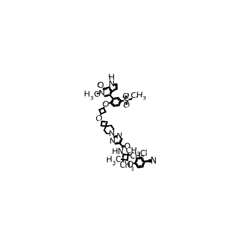 CCS(=O)(=O)c1ccc(OC2CC(OC3CC4(CCN(c5ncc(C(=O)NC6C(C)(C)C(Oc7ccc(C#N)c(Cl)c7)C6(C)C)cn5)CC4)C3)C2)c(-c2cn(C)c(=O)c3[nH]ccc23)c1